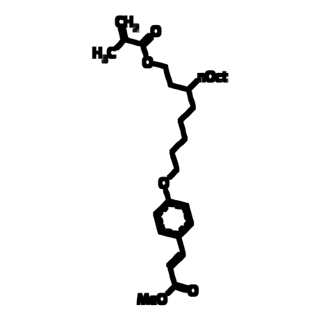 C=C(C)C(=O)OCCC(CCCCCCCC)CCCCCOc1ccc(C=CC(=O)OC)cc1